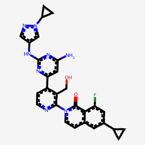 Nc1cc(-c2ccnc(-n3ccc4cc(C5CC5)cc(F)c4c3=O)c2CO)nc(Nc2cnn(C3CC3)c2)n1